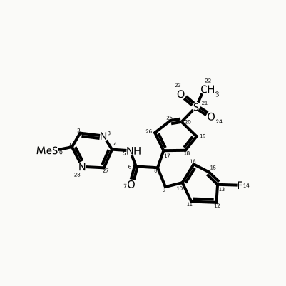 CSc1cnc(NC(=O)C(Cc2ccc(F)cc2)c2ccc(S(C)(=O)=O)cc2)cn1